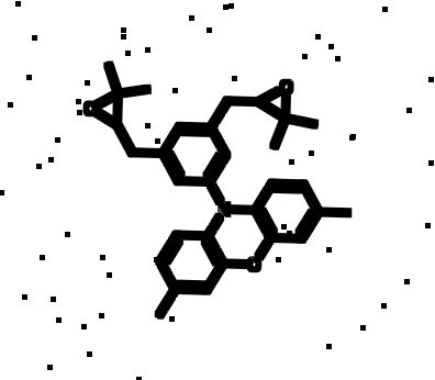 Cc1ccc2c(c1)Oc1cc(C)ccc1N2c1cc(CC2OC2(C)C)cc(CC2OC2(C)C)c1